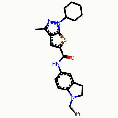 Cc1nn(C2CCCCC2)c2sc(C(=O)Nc3ccc4c(c3)CCN4CC(C)C)cc12